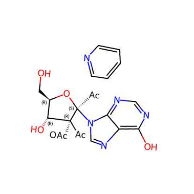 CC(=O)O[C@]1(C(C)=O)[C@H](O)[C@@H](CO)O[C@@]1(C(C)=O)n1cnc2c(O)ncnc21.c1ccncc1